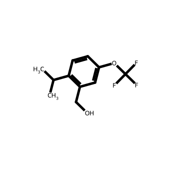 CC(C)c1ccc(OC(F)(F)F)cc1CO